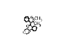 CC(C(C(=O)c1ccccc1N1CCOCC1)c1ccccc1)N(C)C